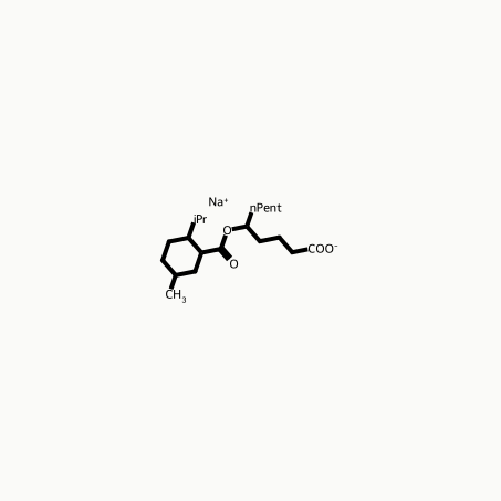 CCCCCC(CCCC(=O)[O-])OC(=O)C1CC(C)CCC1C(C)C.[Na+]